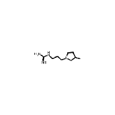 CC1CCN(CCCNC(=N)N)C1